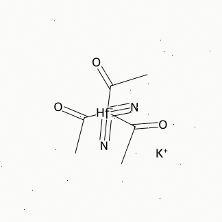 C[C](=O)[Hf-](#[N])(#[N])([C](C)=O)[C](C)=O.[K+]